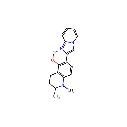 CCCOc1c(-c2cn3ccccc3n2)ccc2c1CCC(C)N2C